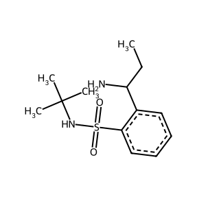 CCC(N)c1ccccc1S(=O)(=O)NC(C)(C)C